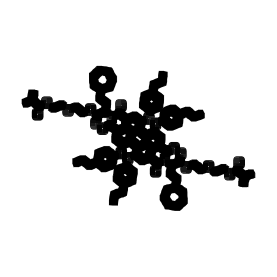 C=C(C)C(=O)OCCOCCOC(=O)C(CCC1CCCCCC1)N1C(=O)c2cc(Oc3ccc(CCC)cc3)c3c4c(Oc5ccc(CCC)cc5)cc5c6c(cc(Oc7ccc(CCC)cc7)c(c7c(Oc8ccc(CCC)cc8)cc(c2c37)C1=O)c64)C(=O)N(C(CCC1CCCCCC1)C(=O)OCCOCCOC(=O)C(=C)C)C5=O